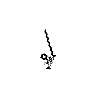 CCCCCCCCCCCCC(C)OS(=O)(=O)N(C(=O)OC(C)C)c1ccccc1